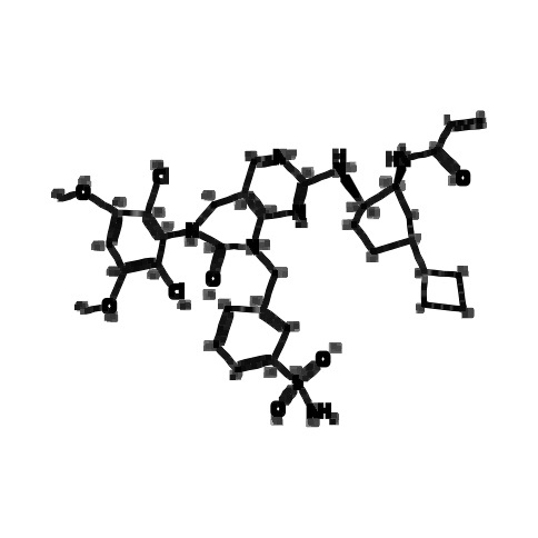 C=CC(=O)N[C@H]1CC(C2CCC2)CC[C@H]1Nc1ncc2c(n1)N(Cc1cccc(S(N)(=O)=O)c1)C(=O)N(c1c(Cl)c(OC)cc(OC)c1Cl)C2